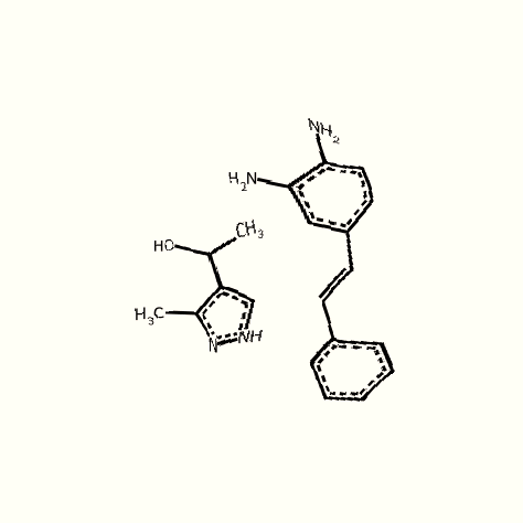 Cc1n[nH]cc1C(C)O.Nc1ccc(C=Cc2ccccc2)cc1N